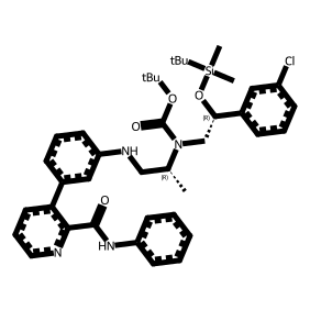 C[C@H](CNc1cccc(-c2cccnc2C(=O)Nc2ccccc2)c1)N(C[C@H](O[Si](C)(C)C(C)(C)C)c1cccc(Cl)c1)C(=O)OC(C)(C)C